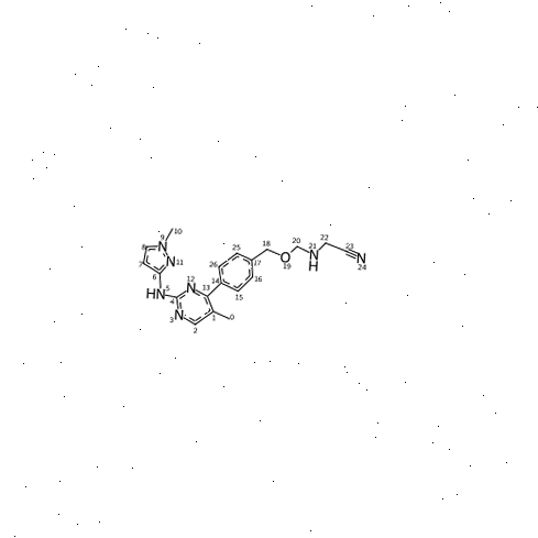 Cc1cnc(Nc2ccn(C)n2)nc1-c1ccc(COCNCC#N)cc1